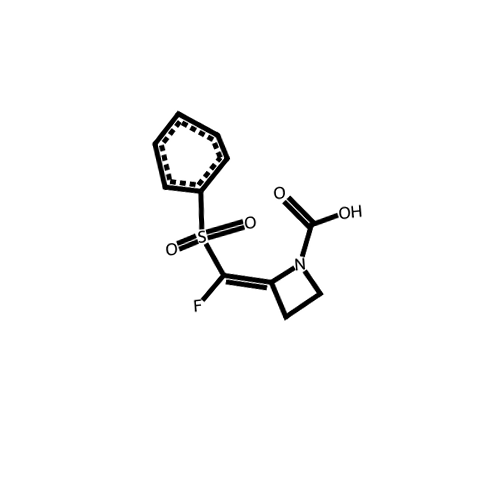 O=C(O)N1CCC1=C(F)S(=O)(=O)c1ccccc1